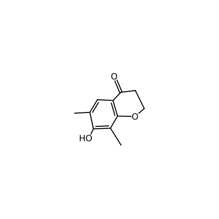 Cc1cc2c(c(C)c1O)OCCC2=O